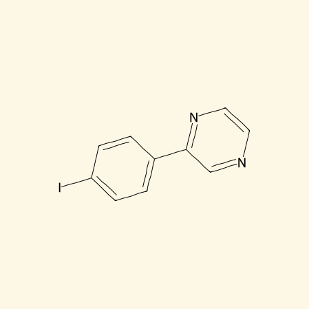 Ic1ccc(-c2cnccn2)cc1